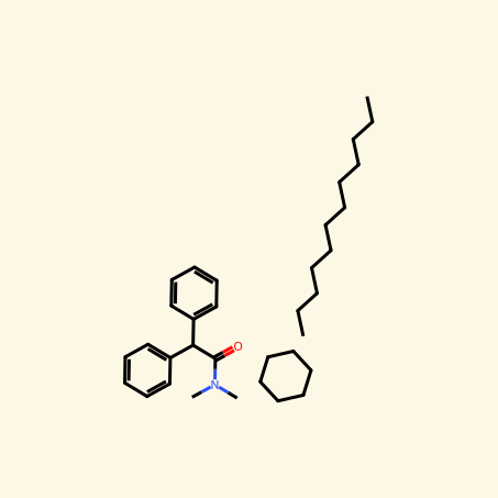 C1CCCCC1.CCCCCCCCCCCC.CN(C)C(=O)C(c1ccccc1)c1ccccc1